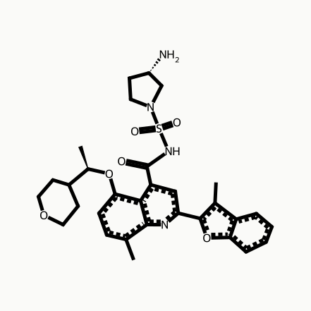 Cc1c(-c2cc(C(=O)NS(=O)(=O)N3CC[C@H](N)C3)c3c(O[C@H](C)C4CCOCC4)ccc(C)c3n2)oc2ccccc12